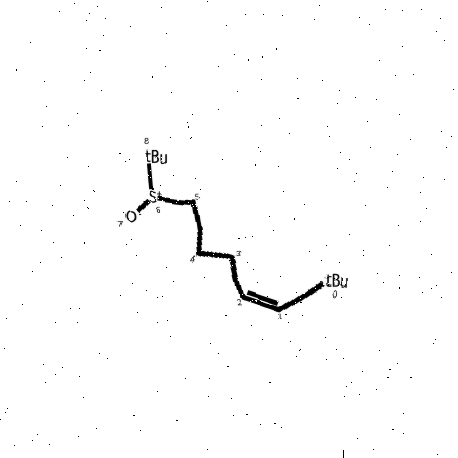 CC(C)(C)/C=C\CCC[S+]([O-])C(C)(C)C